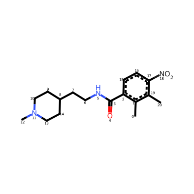 Cc1c(C(=O)NCCC2CCN(C)CC2)ccc([N+](=O)[O-])c1C